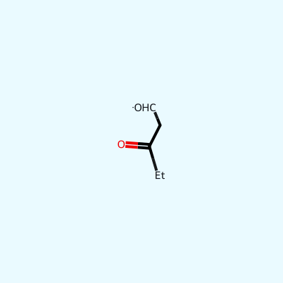 CCC(=O)C[C]=O